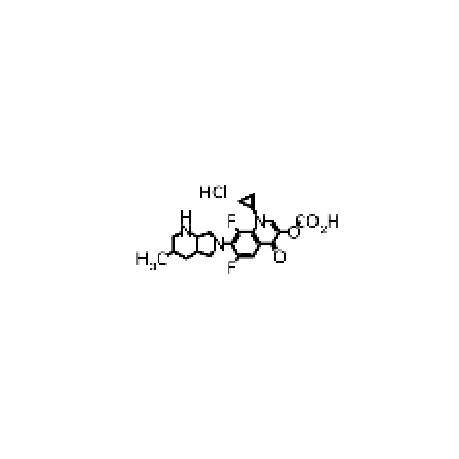 CC1CNC2CN(c3c(F)cc4c(=O)c(OC(=O)O)cn(C5CC5)c4c3F)CC2C1.Cl